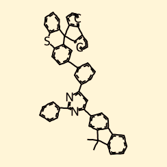 CC1(C)c2ccccc2-c2ccc(-c3cc(-c4cccc(-c5ccc6c(c5)C5(c7ccccc7S6)c6ccccc6-c6ccccc65)c4)nc(-c4ccccc4)n3)cc21